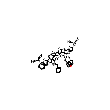 N#CC(C#N)=Nc1ccc(C2=Cc3sc4c(sc5c6c(sc54)C=C(c4ccc(N=C(C#N)C#N)s4)C6(C(=O)OCc4ccccc4)C(=O)OCc4ccccc4)c3C2(C(=O)OCc2ccccc2)C(=O)OCc2ccccc2)s1